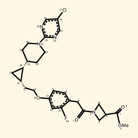 COC(=O)C1CN(C(=O)Cc2ccc(OCC[C@@H]3C[C@@H]3C3CCN(c4ncc(Cl)cn4)CC3)cc2F)C1